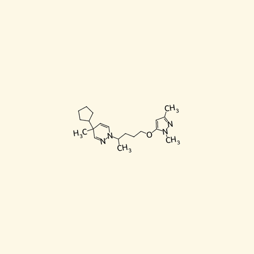 Cc1cc(OCCCC(C)N2C=CC(C)(C3CCCC3)C=N2)n(C)n1